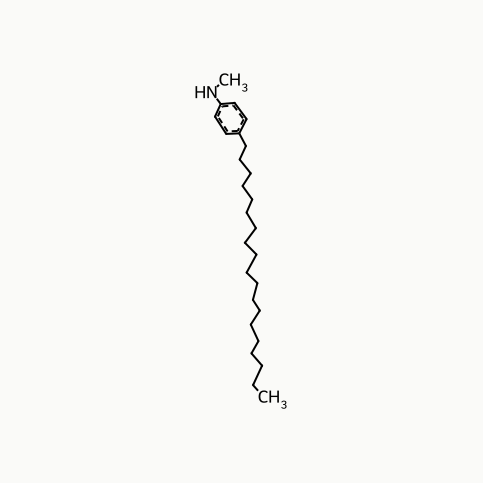 CCCCCCCCCCCCCCCCCCCc1ccc(NC)cc1